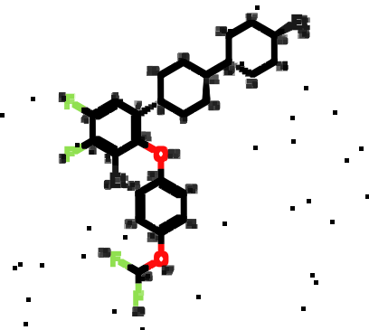 CCc1c(F)c(F)[c]c([C@H]2CC[C@H]([C@H]3CC[C@H](CC)CC3)CC2)c1Oc1ccc(OC(F)F)cc1